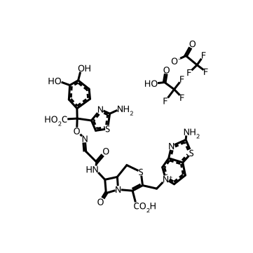 Nc1nc(C(ON=CC(=O)NC2C(=O)N3C(C(=O)O)=C(C[n+]4ccc5sc(N)nc5c4)SCC23)(C(=O)O)c2ccc(O)c(O)c2)cs1.O=C(O)C(F)(F)F.O=C([O-])C(F)(F)F